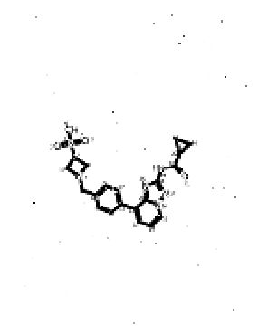 CS(=O)(=O)C1CN(Cc2ccc(-c3cccn4nc(NC(=O)C5CC5)nc34)cc2)C1